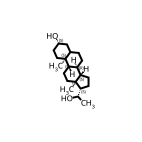 CC(O)[C@H]1CC[C@H]2[C@@H]3CCC4C[C@@H](O)CC[C@]4(C)[C@H]3CC[C@]12C